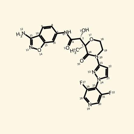 C[C@]1([C@@H](O)C(=O)Nc2ccc3c(N)noc3c2)OCCN(c2ccn(-c3c(F)cncc3F)n2)C1=O